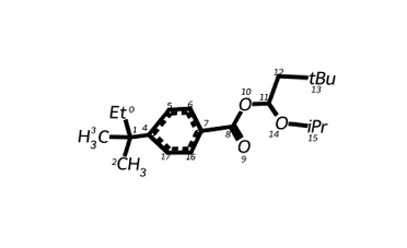 CCC(C)(C)c1ccc(C(=O)OC(CC(C)(C)C)OC(C)C)cc1